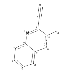 C#Cc1nc2ccccc2cc1C